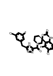 O=C1Nc2ccc(Cl)c(F)c2[C@@]2(CCCN(C(=O)c3nnc(Cc4cc(F)cc(Cl)c4)[nH]3)C2)O1